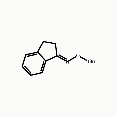 CC(C)(C)ON=C1CCc2ccccc21